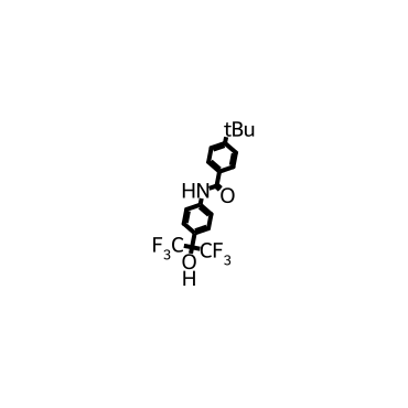 CC(C)(C)c1ccc(C(=O)Nc2ccc(C(O)(C(F)(F)F)C(F)(F)F)cc2)cc1